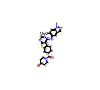 COc1cc2[nH]ncc2cc1Nc1ncnc2sc3c(c12)CC[C@H](C(=O)N1CCC(=O)CC1)C3